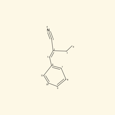 CC/C(C#N)=C\c1ccccc1